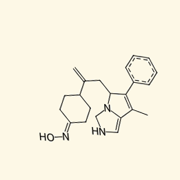 C=C(CC1C(c2ccccc2)=C(C)C2=CNCN21)C1CCC(=NO)CC1